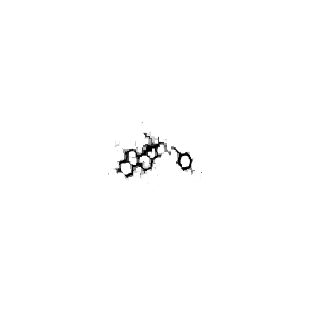 COCNC(=O)[C@@]12ON(Cc3ccc(Cl)cc3)C[C@@H]1C[C@H]1[C@@H]3C[C@H](F)C4=CC(=O)C=C[C@]4(C)[C@@]3(F)[C@@H](O)C[C@@]12C